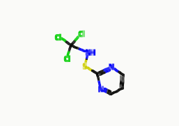 ClC(Cl)(Cl)NSc1ncccn1